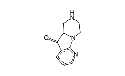 O=C1c2cccnc2N2CCNCC12